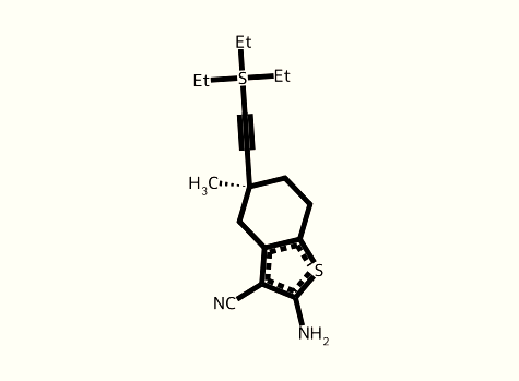 CCS(C#C[C@@]1(C)CCc2sc(N)c(C#N)c2C1)(CC)CC